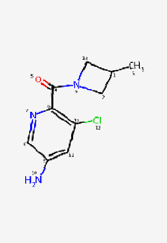 CC1CN(C(=O)c2ncc(N)cc2Cl)C1